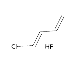 C=CC=CCl.F